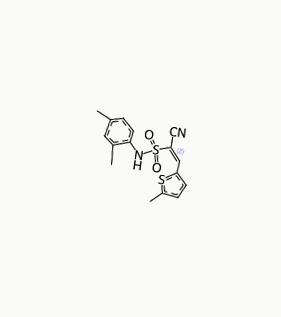 Cc1ccc(NS(=O)(=O)/C(C#N)=C\c2ccc(C)s2)c(C)c1